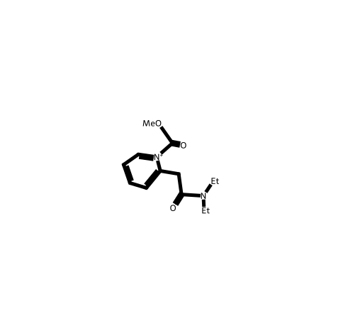 CCN(CC)C(=O)Cc1cccc[n+]1C(=O)OC